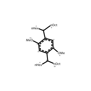 CCCCCCCCC(CCCCCC)c1cc(OC)c(C(CCCCCC)CCCCCCCC)cc1OC